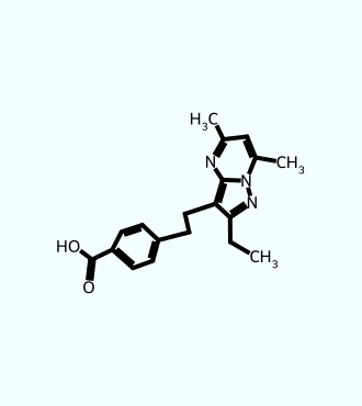 CCc1nn2c(C)cc(C)nc2c1CCc1ccc(C(=O)O)cc1